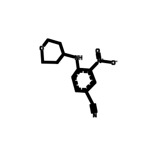 N#Cc1ccc(NC2CCOCC2)c([N+](=O)[O-])c1